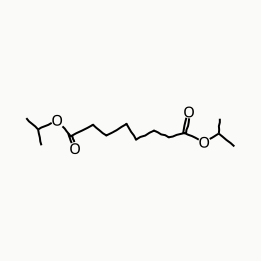 CC(C)OC(=O)CCCCCCC(=O)OC(C)C